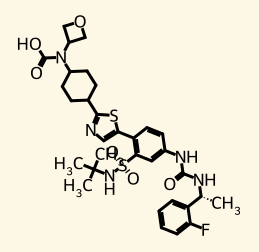 C[C@@H](NC(=O)Nc1ccc(-c2cnc(C3CCC(N(C(=O)O)C4COC4)CC3)s2)c(S(=O)(=O)NC(C)(C)C)c1)c1ccccc1F